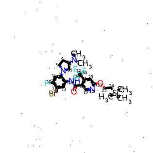 CN(C)[C@@H]1CCN(c2cc(F)c(Br)cc2NC(=O)c2cnc(OCC[Si](C)(C)C)cc2C(F)(F)F)C1